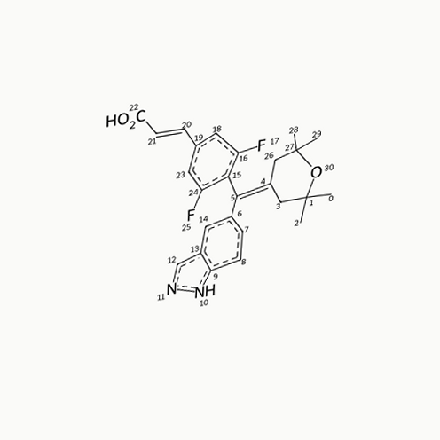 CC1(C)CC(=C(c2ccc3[nH]ncc3c2)c2c(F)cc(/C=C/C(=O)O)cc2F)CC(C)(C)O1